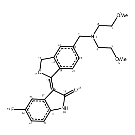 COCCN(CCOC)Cc1ccc2c(c1)CO/C2=C1/C(=O)Nc2ccc(F)cc21